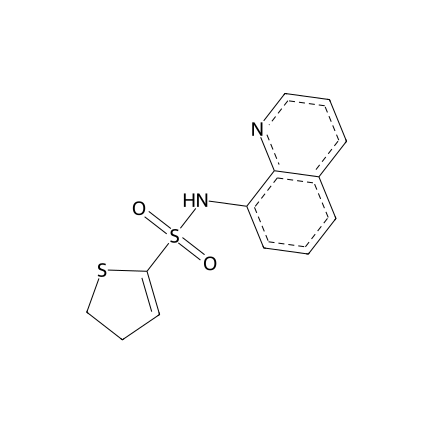 O=S(=O)(Nc1cccc2cccnc12)C1=CCCS1